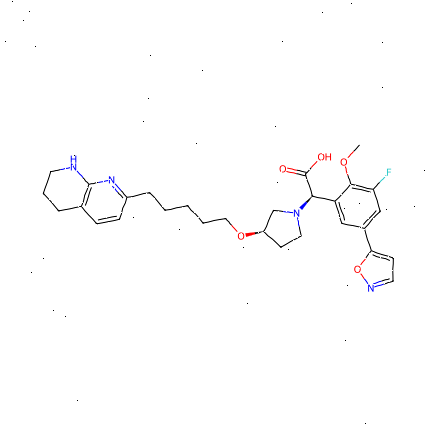 COc1c(F)cc(-c2ccno2)cc1[C@H](C(=O)O)N1CC[C@@H](OCCCCCc2ccc3c(n2)NCCC3)C1